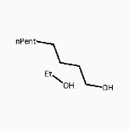 CCCCCCCCCO.CCO